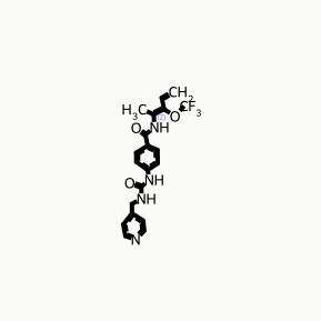 C=C/C(OC(F)(F)F)=C(\C)NC(=O)c1ccc(NC(=O)NCc2ccncc2)cc1